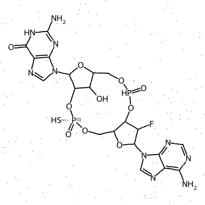 Nc1nc2c(ncn2C2OC3CO[PH](=O)OC4C(CO[P@](=O)(S)OC2C3O)OC(n2cnc3c(N)ncnc32)C4F)c(=O)[nH]1